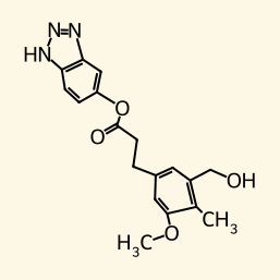 COc1cc(CCC(=O)Oc2ccc3[nH]nnc3c2)cc(CO)c1C